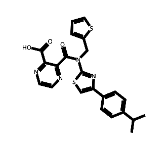 CC(C)c1ccc(-c2csc(N(Cc3cccs3)C(=O)c3nccnc3C(=O)O)n2)cc1